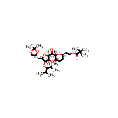 CC(C)C(O[C@@H]1[C@@H]2O[C@H]3CC[C@H](CCOC(=O)C(C)(C)C)O[C@@H]3C(=O)[C@@H]2O[C@@H]1C[C@@H]1COC(C)(C)O1)C(C)C